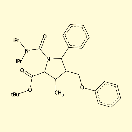 CC1C(COc2ccccc2)C(c2ccccc2)N(C(=O)N(C(C)C)C(C)C)C1C(=O)OC(C)(C)C